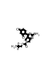 CC(F)(F)COC(=O)N1Cc2nc(N)nc(-c3ccc(Cl)cc3Cl)c2C1